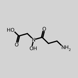 NCCC(=O)N(O)CC(=O)O